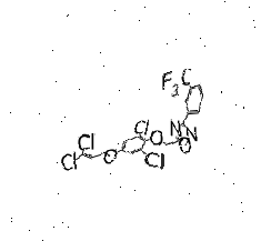 FC(F)(F)c1cccc(-c2noc(COc3c(Cl)cc(OCC=C(Cl)Cl)cc3Cl)n2)c1